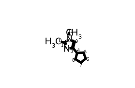 Cc1nc(C2CCCC2)cn1C